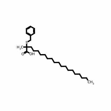 CCCCCCCCCCCCCCCCCCC(C)(SCc1ccccc1)C(=O)O